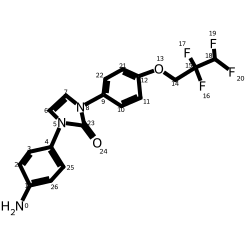 Nc1ccc(-n2ccn(-c3ccc(OCC(F)(F)C(F)F)cc3)c2=O)cc1